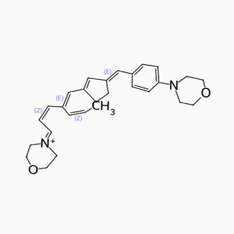 C\C=C/C(/C=C\C=[N+]1CCOCC1)=C\C1=CC(=C/c2ccc(N3CCOCC3)cc2)/CC1